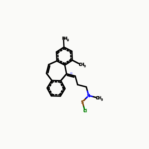 Bc1cc(C)c2c(c1)C=Cc1ccccc1/C2=C\CCN(C)SCl